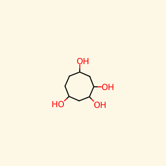 OC1CCC(O)CC(O)C(O)C1